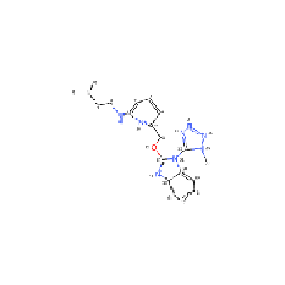 CC(C)CCNc1cccc(COc2nc3ccccc3n2-c2nnnn2C)n1